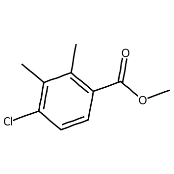 COC(=O)c1ccc(Cl)c(C)c1C